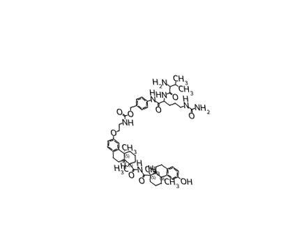 CC(C)C(N)C(=O)NC(CCCNC(N)=O)C(=O)Nc1ccc(COC(=O)NCCOc2ccc3c(c2)[C@@]2(C)CCC[C@](C)(C(=O)NC(=O)[C@@]4(C)CCC[C@]5(C)c6cc(O)ccc6CC[C@@H]45)[C@@H]2CC3)cc1